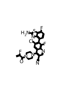 C=C(F)C(=O)N1CCN(c2c(C#N)cnc3c(F)c(-c4ccc(F)c5sc(N)nc45)c(Cl)cc23)CC1